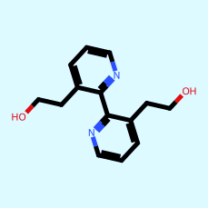 OCCc1cccnc1-c1ncccc1CCO